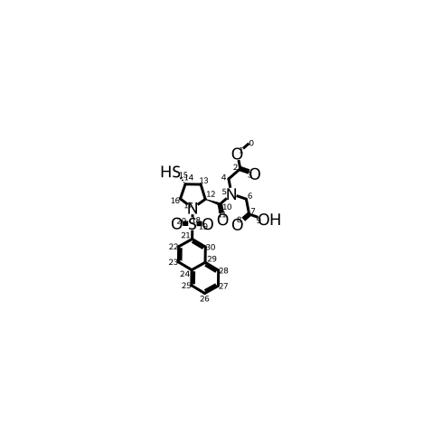 COC(=O)CN(CC(=O)O)C(=O)[C@@H]1C[C@@H](S)CN1S(=O)(=O)c1ccc2ccccc2c1